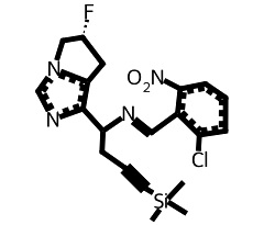 C[Si](C)(C)C#CCC(N=Cc1c(Cl)cccc1[N+](=O)[O-])c1ncn2c1C[C@@H](F)C2